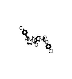 C#CCn1c(NCCc2ccc(Cl)cc2)nc2c(c1=O)CN(C(=O)COc1ccc(Cl)cc1)CC2